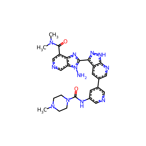 CN1CCN(C(=O)Nc2cncc(-c3cnc4[nH]nc(-c5nc6c(C(=O)N(C)C)cncc6n5N)c4c3)c2)CC1